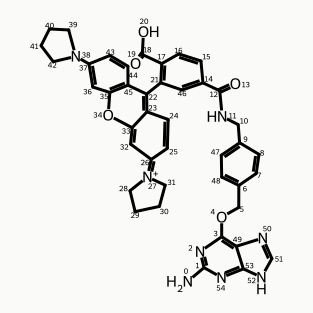 Nc1nc(OCc2ccc(CNC(=O)c3ccc(C(=O)O)c(-c4c5ccc(=[N+]6CCCC6)cc-5oc5cc(N6CCCC6)ccc45)c3)cc2)c2nc[nH]c2n1